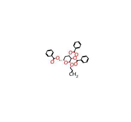 C=CCO[C@H]1O[C@H](COC(=O)c2ccccc2)C[C@H](OC(=O)c2ccccc2)[C@H]1OC(=O)c1ccccc1